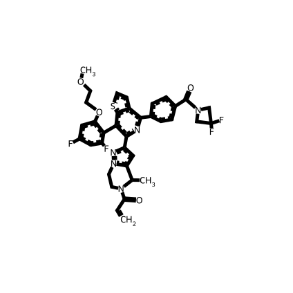 C=CC(=O)N1CCn2nc(-c3nc(-c4ccc(C(=O)N5CC(F)(F)C5)cc4)c4ccsc4c3-c3c(F)cc(F)cc3OCCOC)cc2C1C